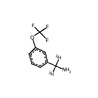 [2H]C([2H])(N)c1cccc(OC(F)(F)F)c1